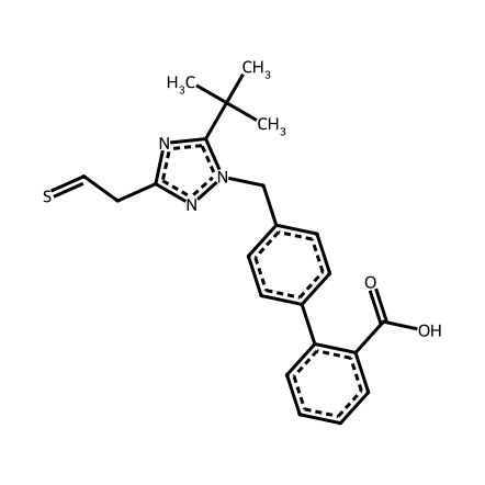 CC(C)(C)c1nc(CC=S)nn1Cc1ccc(-c2ccccc2C(=O)O)cc1